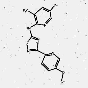 CC(C)Oc1ccc(-c2nsc(Nc3ncc(C(C)C)cc3C(F)(F)F)n2)nc1